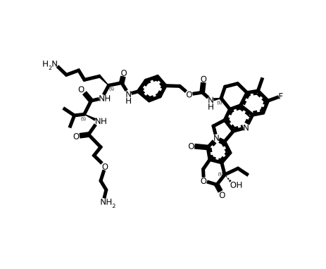 CC[C@@]1(O)C(=O)OCc2c1cc1n(c2=O)Cc2c-1nc1cc(F)c(C)c3c1c2[C@@H](NC(=O)OCc1ccc(NC(=O)[C@H](CCCCN)NC(=O)[C@@H](NC(=O)CCOCCN)C(C)C)cc1)CC3